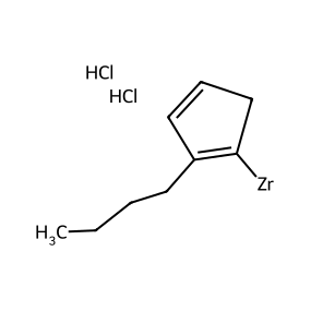 CCCCC1=[C]([Zr])CC=C1.Cl.Cl